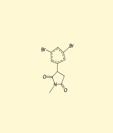 CN1C(=O)CC(c2cc(Br)cc(Br)c2)C1=O